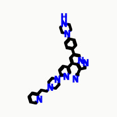 N#Cc1cnn2cc(-c3ccc(N4CCNCC4)cc3)cc(-c3ccc(N4CCN(CCc5ccccn5)CC4)nc3)c12